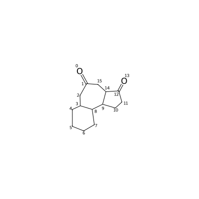 O=C1CC2CCCCC2C2CCC(=O)C2C1